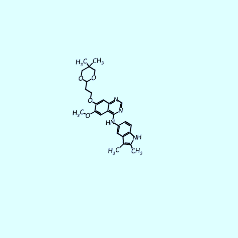 COc1cc2c(Nc3ccc4[nH]c(C)c(C)c4c3)ncnc2cc1OCCC1OCC(C)(C)CO1